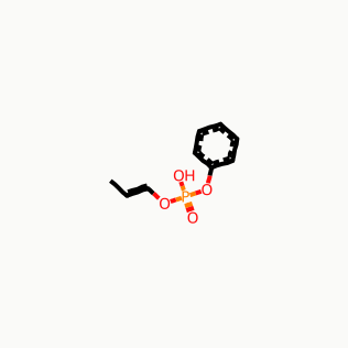 CC=COP(=O)(O)Oc1ccccc1